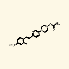 CCOC(=O)c1ccc(C=Cc2ccc(N3CCN(OC(=O)C(C)(C)C)CC3)cn2)c(F)c1